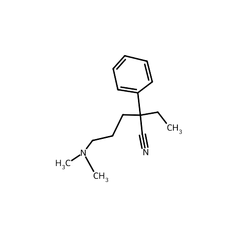 CCC(C#N)(CCCN(C)C)c1ccccc1